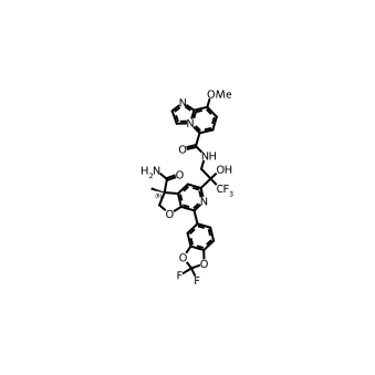 COc1ccc(C(=O)NCC(O)(c2cc3c(c(-c4ccc5c(c4)OC(F)(F)O5)n2)OC[C@]3(C)C(N)=O)C(F)(F)F)n2ccnc12